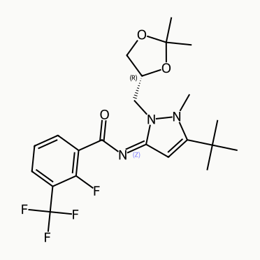 Cn1c(C(C)(C)C)c/c(=N/C(=O)c2cccc(C(F)(F)F)c2F)n1C[C@@H]1COC(C)(C)O1